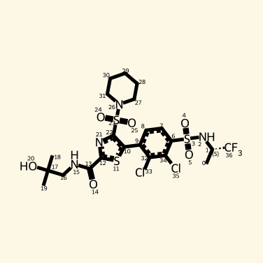 C[C@H](NS(=O)(=O)c1ccc(-c2sc(C(=O)NCC(C)(C)O)nc2S(=O)(=O)N2CCCCC2)c(Cl)c1Cl)C(F)(F)F